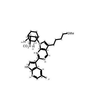 CSCCCCc1cn([C@@H]2C3CCC(CC3)[C@H]2C(=O)O)c2nc(-c3c[nH]c4ncc(F)cc34)ncc12